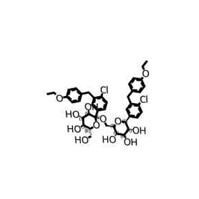 CCOc1ccc(Cc2cc([C@@H]3O[C@H](CO[C@]4(c5ccc(Cl)c(Cc6ccc(OCC)cc6)c5)O[C@H](CO)[C@@H](O)[C@H](O)[C@H]4O)[C@@H](O)[C@H](O)[C@H]3O)ccc2Cl)cc1